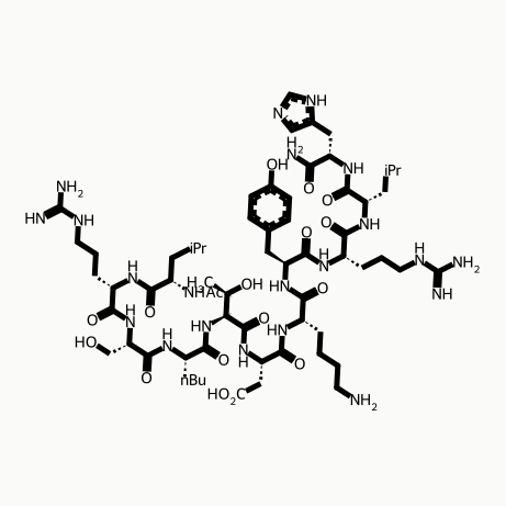 CCCC[C@H](NC(=O)[C@H](CO)NC(=O)[C@H](CCCNC(=N)N)NC(=O)[C@H](CC(C)C)NC(C)=O)C(=O)N[C@H](C(=O)N[C@@H](CC(=O)O)C(=O)N[C@@H](CCCCN)C(=O)N[C@@H](Cc1ccc(O)cc1)C(=O)N[C@@H](CCCNC(=N)N)C(=O)N[C@@H](CC(C)C)C(=O)N[C@@H](Cc1cnc[nH]1)C(N)=O)[C@@H](C)O